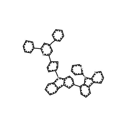 c1ccc(-c2cc(-c3ccccc3)nc(-c3ccc(-n4c5ccccc5c5cc(-c6cccc7c8cccnc8n(-c8ccccc8)c67)ccc54)cc3)c2)cc1